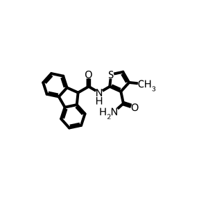 Cc1csc(NC(=O)C2c3ccccc3-c3ccccc32)c1C(N)=O